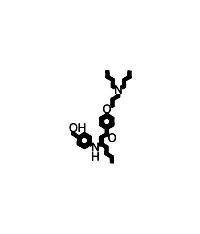 CCCC/C(=C\C(=O)c1ccc(OCCCN(CCCC)CCCC)cc1)Nc1ccc(CO)cc1